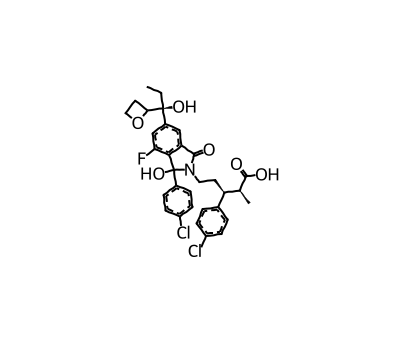 CC[C@](O)(c1cc(F)c2c(c1)C(=O)N(CC[C@H](c1ccc(Cl)cc1)[C@H](C)C(=O)O)C2(O)c1ccc(Cl)cc1)C1CCO1